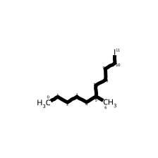 CCCCCC(C)CCCCI